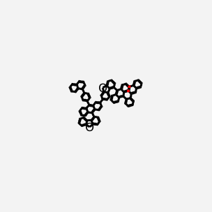 c1ccc(-c2c3ccccc3c(-c3cccc4oc5cc(-c6ccc7c(-c8cccc9oc%10ccccc%10c89)c8ccccc8c(-c8ccc(-c9cccc%10ccccc9%10)cc8)c7c6)ccc5c34)c3ccccc23)c(-c2ccc3ccccc3c2)c1